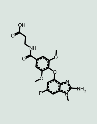 COc1cc(C(=O)NCCC(=O)O)cc(OC)c1Oc1cc(F)cc2c1nc(N)n2C